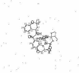 CCC1(CC)CC(=O)N([C@H]2c3cc(C(=O)NC4CC(C)(C)Oc5ccccc54)ccc3OC[C@@H]2OC)C(=N)N1